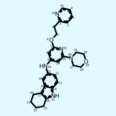 c1ccc(CCOc2cc(Nc3ccc4[nH]c5c(c4c3)CCCC5)cc(N3CCOCC3)n2)nc1